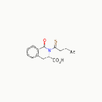 CC(=O)CCC(=S)N1C(=O)c2ccccc2CC1C(=O)O